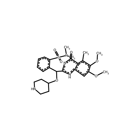 COc1cc2[nH]c(C(OC3CCNCC3)c3ccccc3S(=O)(=O)N(C)C)nc(=O)c2c(C)c1OC